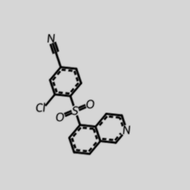 N#Cc1ccc(S(=O)(=O)c2cccc3cnccc23)c(Cl)c1